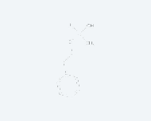 CC(C)(O)OCCc1ccccc1